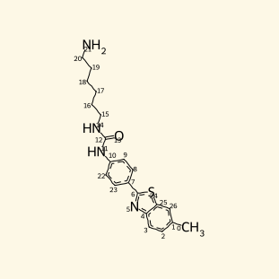 Cc1ccc2nc(-c3ccc(NC(=O)NCCCCCCN)cc3)sc2c1